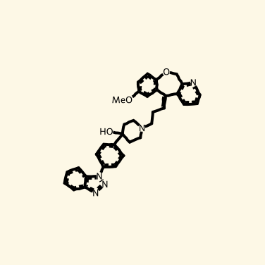 COc1ccc2c(c1)C(=CCCN1CCC(O)(c3ccc(-n4nnc5ccccc54)cc3)CC1)c1cccnc1CO2